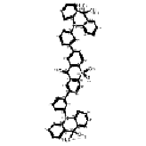 CC1(C)c2ccccc2N(c2cccc(-c3ccc4c(c3)C(=O)c3cc(-c5cccc(N6c7ccccc7C(C)(C)c7ccccc76)c5)ccc3S4(=O)=O)c2)c2ccccc21